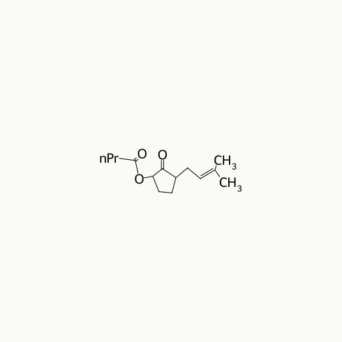 CCCC(=O)OC1CCC(CC=C(C)C)C1=O